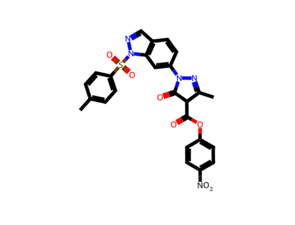 CC1=NN(c2ccc3cnn(S(=O)(=O)c4ccc(C)cc4)c3c2)C(=O)C1C(=O)Oc1ccc([N+](=O)[O-])cc1